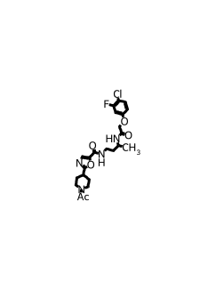 CC(=O)N1CCC(c2ncc(C(=O)NCCC(C)NC(=O)COc3ccc(Cl)c(F)c3)o2)CC1